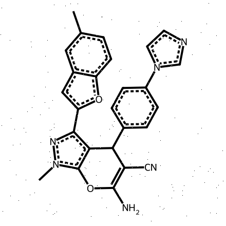 Cc1ccc2oc(-c3nn(C)c4c3C(c3ccc(-n5ccnc5)cc3)C(C#N)=C(N)O4)cc2c1